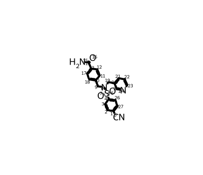 N#Cc1ccc(S(=O)(=O)N(Cc2ccc(C(N)=O)cc2)Cc2cccnc2)cc1